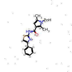 Cc1cc(C(=O)Nc2nc(-c3ccccc3)cs2)c(C)[n]1[PoH]